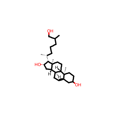 CC(CO)CCC[C@@H](C)[C@H]1[C@@H](O)C[C@H]2[C@@H]3CC=C4CC(O)CC[C@]4(C)[C@H]3CC[C@]12C